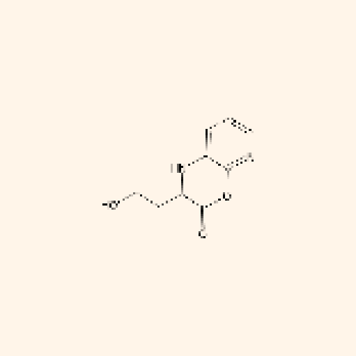 O=C1Oc2ncccc2NC1CCO